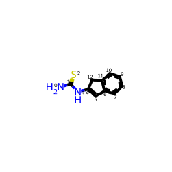 NC(=S)NC1=Cc2ccccc2C1